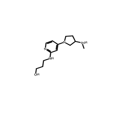 C[AsH]C1CCN(c2ccnc(NCCCO)c2)C1